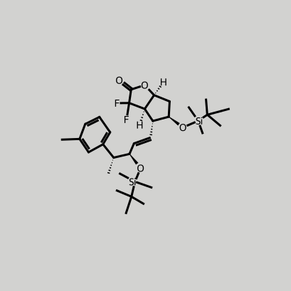 Cc1cccc([C@@H](C)[C@@H](C=C[C@@H]2[C@@H]3[C@H](C[C@H]2O[Si](C)(C)C(C)(C)C)OC(=O)C3(F)F)O[Si](C)(C)C(C)(C)C)c1